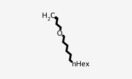 C=CCCOCCCCCCCCCCCC